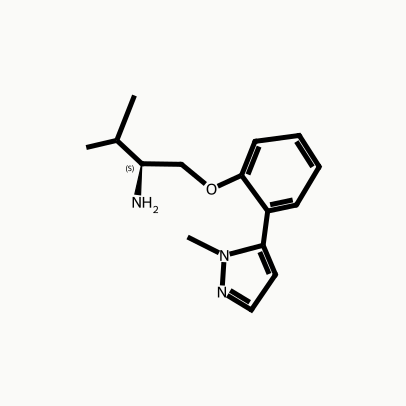 CC(C)[C@H](N)COc1ccccc1-c1ccnn1C